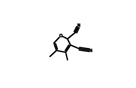 CC1=COC(C#N)C(C#N)=C1C